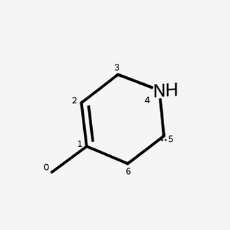 CC1=CCN[C]C1